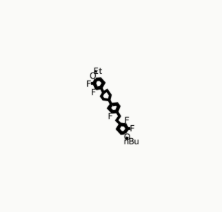 CCCCOc1ccc(CCc2ccc(C3CCC(c4ccc(OCC)c(F)c4F)CC3)cc2F)c(F)c1F